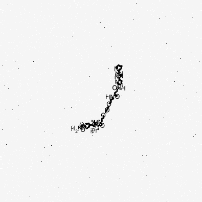 CC(C)C[C@@H](C(=O)NCCCOCCOCCOCCCNC(=O)CCC(=O)Nc1ccc(-c2nnc(-c3ccccn3)nn2)nc1)n1cc(-c2ccc(S(N)(=O)=O)cc2)nn1